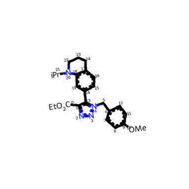 CCOC(=O)c1nnn(Cc2ccc(OC)cc2)c1-c1ccc2c(c1)N(C(C)C)CCC2